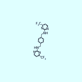 FC(F)(F)c1ccnc(NCc2ccc(CNc3nccc(C(F)(F)F)n3)cc2)n1